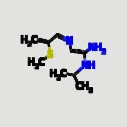 C=C(/C=N\C=C(/N)NC(C)C)SC